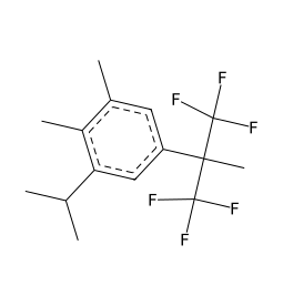 Cc1cc(C(C)(C(F)(F)F)C(F)(F)F)cc(C(C)C)c1C